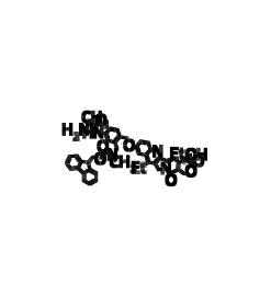 CCc1c2c(nc3ccc(OCc4ccc(NC(=O)[C@H](C)N)cc4CN(C)C(=O)OCC4c5ccccc5-c5ccccc54)cc13)-c1cc3c(c(=O)n1C2)COC(=O)[C@]3(O)CC